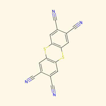 N#Cc1cc2c(cc1C#N)Sc1cc(C#N)c(C#N)cc1S2